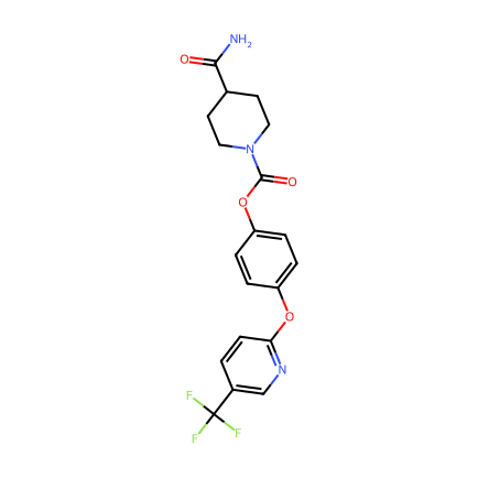 NC(=O)C1CCN(C(=O)Oc2ccc(Oc3ccc(C(F)(F)F)cn3)cc2)CC1